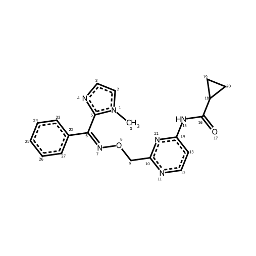 Cn1ccnc1/C(=N\OCc1nccc(NC(=O)C2CC2)n1)c1ccccc1